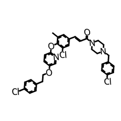 Cc1cc(C=CC(=O)N2CCN(Cc3ccc(Cl)cc3)CC2)cc(Cl)c1Oc1ccc(OCCc2ccc(Cl)cc2)cn1